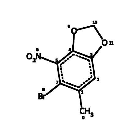 Cc1cc2c(c([N+](=O)[O-])c1Br)OCO2